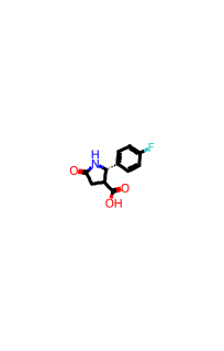 O=C1CC(C(=O)O)[C@@H](c2ccc(F)cc2)N1